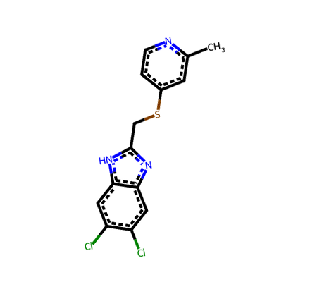 Cc1cc(SCc2nc3cc(Cl)c(Cl)cc3[nH]2)ccn1